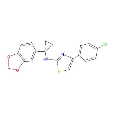 Clc1ccc(-c2csc(NC3(c4ccc5c(c4)OCO5)CC3)n2)cc1